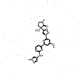 COc1cc(-c2ccnc(Nc3cnn(C)c3)n2)nc(-n2cc([C@]3(O)CCN(C)C3=O)nn2)c1